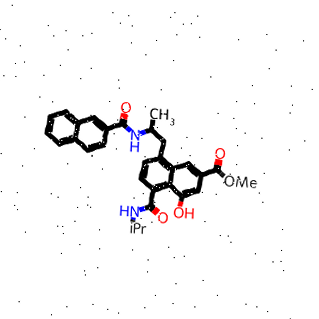 COC(=O)c1cc(O)c2c(C(=O)NC(C)C)ccc(CC(C)NC(=O)c3ccc4ccccc4c3)c2c1